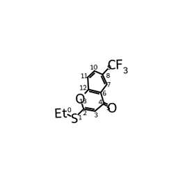 CCSc1cc(=O)c2cc(C(F)(F)F)ccc2o1